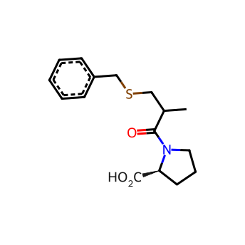 CC(CSCc1ccccc1)C(=O)N1CCC[C@H]1C(=O)O